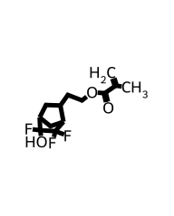 C=C(C)C(=O)OCCC1CC2CC1C(F)(F)C2(O)F